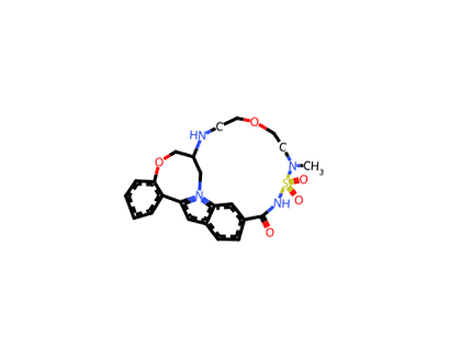 CN1CCOCCNC2COc3ccccc3-c3cc4ccc(cc4n3C2)C(=O)NS1(=O)=O